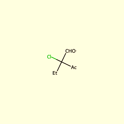 CCC(Cl)([C]=O)C(C)=O